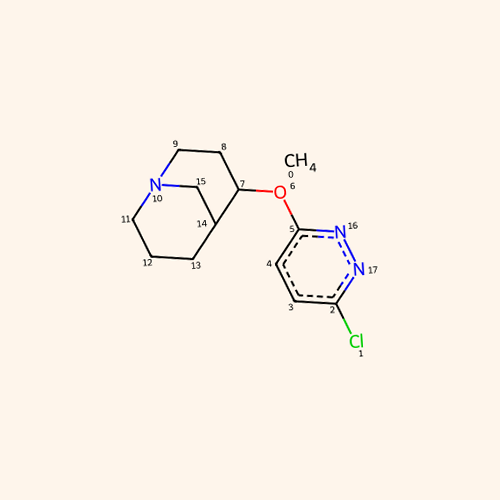 C.Clc1ccc(OC2CCN3CCCC2C3)nn1